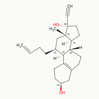 C#C[C@@]1(O)CC[C@H]2[C@@H]3CCC4=C(CC[C@H](O)C4)[C@H]3[C@@H](CCC=C)C[C@@]21C